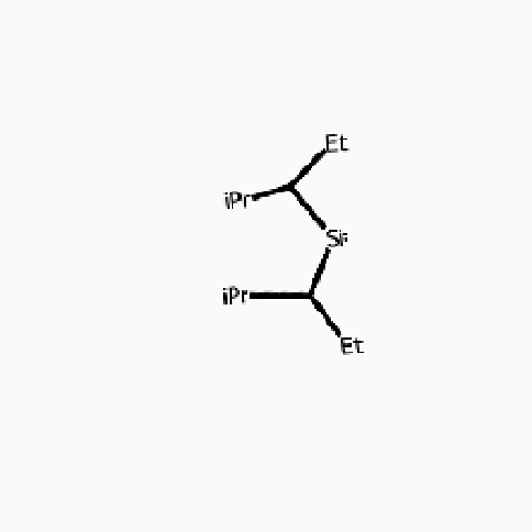 CCC([Si]C(CC)C(C)C)C(C)C